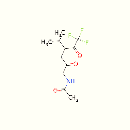 CC(=O)NCC(=O)CC(C(=O)C(F)(F)F)C(C)C